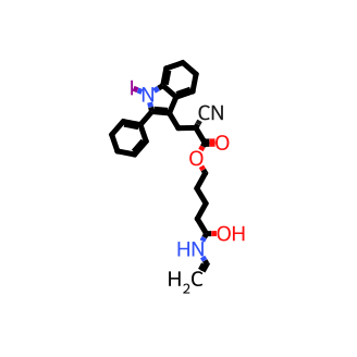 C=CNC(O)CCCCOC(=O)C(C#N)Cc1c(C2=CCCC=C2)n(I)c2c1=CCCC=2